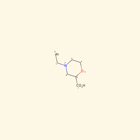 CC(C)CN1CCOC(C(=O)O)C1